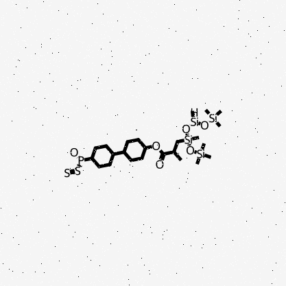 CC(C[Si](C)(O[SiH](C)O[Si](C)(C)C)O[Si](C)(C)C)C(=O)OC1CCC(C2CCC(P(=O)=S=S)CC2)CC1